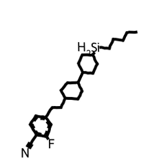 CCCCC[SiH2]C1CCC(C2CCC(CCc3ccc(C#N)c(F)c3)CC2)CC1